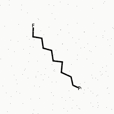 FCCCCCCCCC[P]